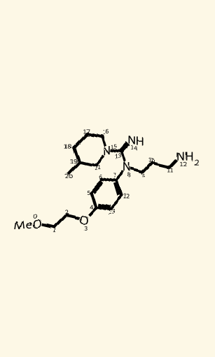 COCCOc1ccc(N(CCCN)C(=N)N2CCCC(C)C2)cc1